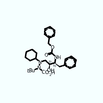 CC(C)(C)N(C(=O)O)N(C[C@H](O)[C@H](Cc1ccccc1)NC(=O)OCc1ccccc1)C1CCCCC1